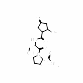 CC1CC(=O)CC1C(=O)N[C@@H](CO)C(=O)N1CCC[C@H]1C(N)=O